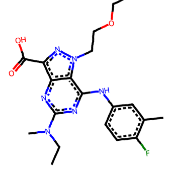 CCOCCn1nc(C(=O)O)c2nc(N(C)CC)nc(Nc3ccc(F)c(C)c3)c21